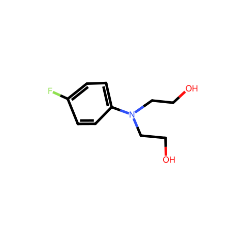 OCCN(CCO)c1ccc(F)cc1